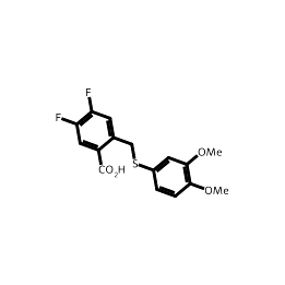 COc1ccc(SCc2cc(F)c(F)cc2C(=O)O)cc1OC